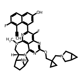 C#Cc1c(F)ccc2cc(O)cc(-c3nc4c5c(nc(OCC6(CN7CC8CC8C7)CC6)nc5c3F)N3CC5CCC(N5)[C@@H]3CN4C)c12